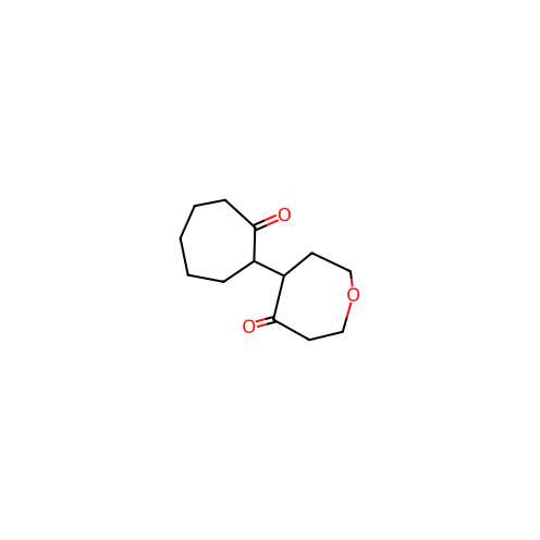 O=C1CCCCCC1C1CCOCCC1=O